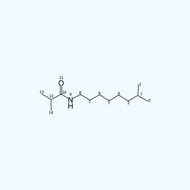 CC(C)CCCCCCNC(=O)C(C)C